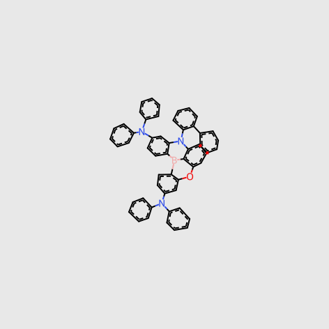 c1ccc(-c2ccccc2N2c3cc(N(c4ccccc4)c4ccccc4)ccc3B3c4ccc(N(c5ccccc5)c5ccccc5)cc4Oc4cccc2c43)cc1